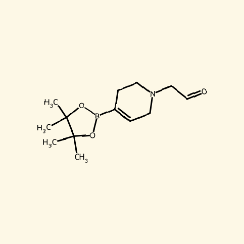 CC1(C)OB(C2=CCN(CC=O)CC2)OC1(C)C